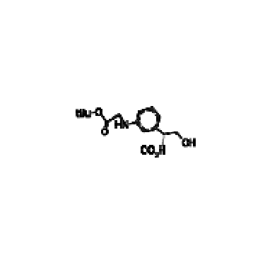 CC(C)(C)OC(=O)CNc1cccc([C@H](CO)C(=O)O)c1